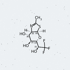 CC1=N[C@@H]2[C@@H](O)[C@H](O)[C@@H]([C@H](O)C(F)(F)F)O[C@@H]2S1